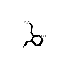 Cl.NCCc1ccccc1C=O